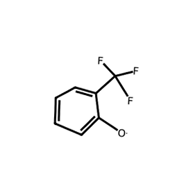 [O]c1ccccc1C(F)(F)F